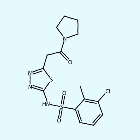 Cc1c(Cl)cccc1S(=O)(=O)Nc1nnc(CC(=O)N2CCCC2)s1